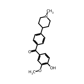 COc1cc(C(=O)c2ccc(C3CCN(C)CC3)cc2)ccc1O